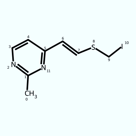 Cc1nccc(/C=C/SCI)n1